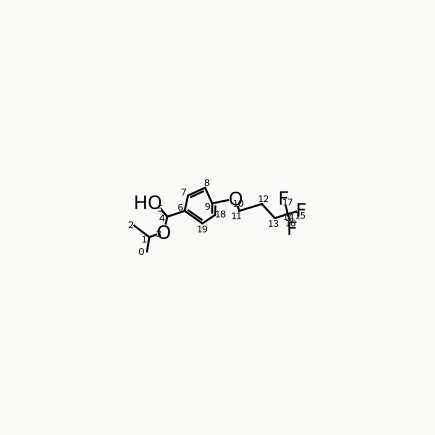 CC(C)OC(O)c1ccc(OCCCC(F)(F)F)cc1